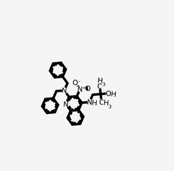 CC(C)(O)CNc1c([N+](=O)[O-])c(N(Cc2ccccc2)Cc2ccccc2)nc2ccccc12